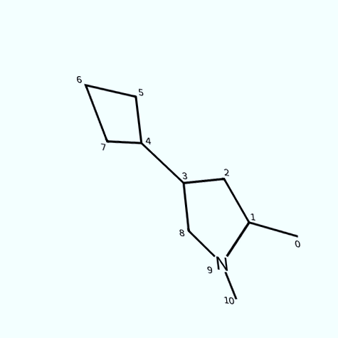 CC1CC(C2CCC2)CN1C